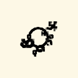 CCN1C(=O)N[C@@H](CCC(F)(F)F)CCCCCOc2nc(cn3ccnc23)-c2cc(ncc2OC)[C@H]1C